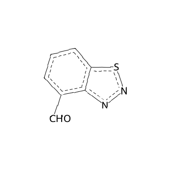 O=Cc1cccc2snnc12